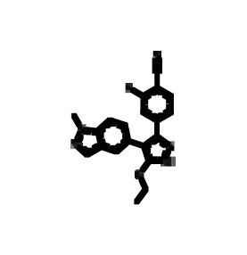 CCOc1[nH]nc(-c2ccc(C#N)c(F)c2)c1-c1ccc2c(cnn2C)c1